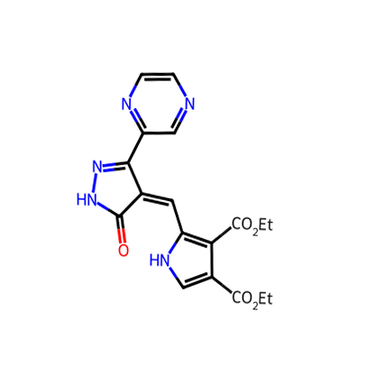 CCOC(=O)c1c[nH]c(C=C2C(=O)NN=C2c2cnccn2)c1C(=O)OCC